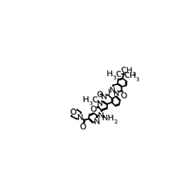 Cn1cc(-c2cccc(N3C(=O)c4ccc(C(C)(C)C)cc4CN3I)c2CN=O)cc(N(N)c2ccc(C(=O)N3CCOCC3)cn2)c1=O